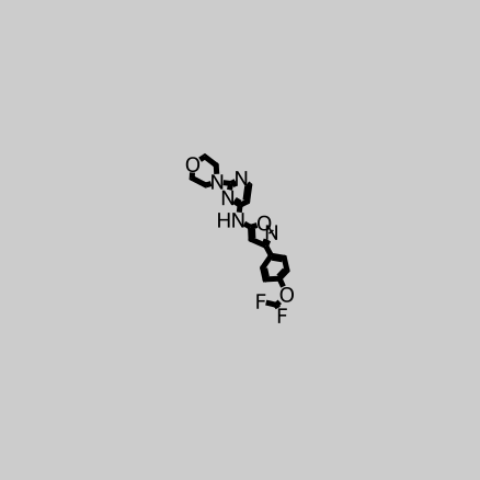 FC(F)Oc1ccc(-c2cc(Nc3ccnc(N4CCOCC4)n3)on2)cc1